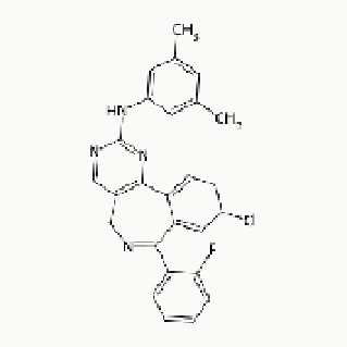 Cc1cc(C)cc(Nc2ncc3c(n2)C2=CCC(Cl)C=C2C(c2ccccc2F)=NC3)c1